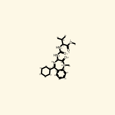 COC(=O)C(NC(=O)NC1N=C(C2CCCCC2)c2ccccc2N(C)C1=O)C(C)C